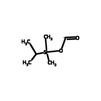 CC(C)[Si](C)(C)O[C]=O